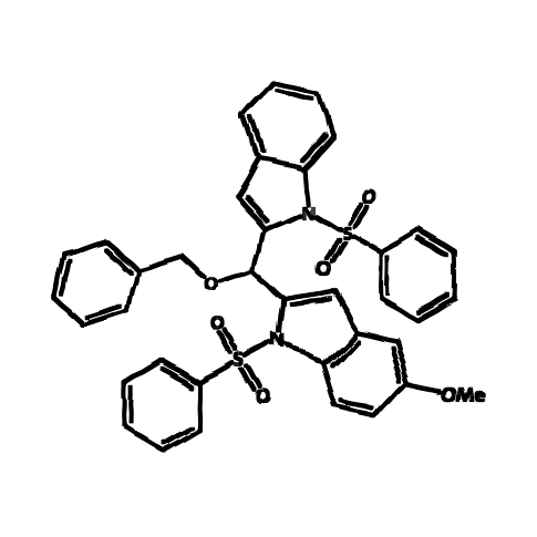 COc1ccc2c(c1)cc(C(OCc1ccccc1)c1cc3ccccc3n1S(=O)(=O)c1ccccc1)n2S(=O)(=O)c1ccccc1